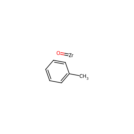 Cc1ccccc1.[O]=[Zr]